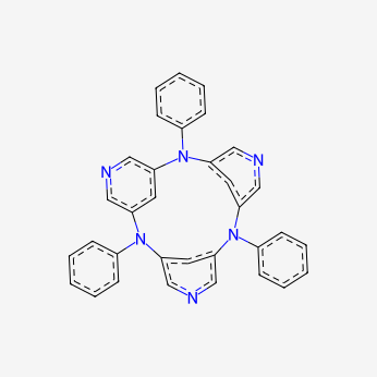 c1ccc(N2c3cncc(c3)N(c3ccccc3)c3cncc(c3)N(c3ccccc3)c3cncc2c3)cc1